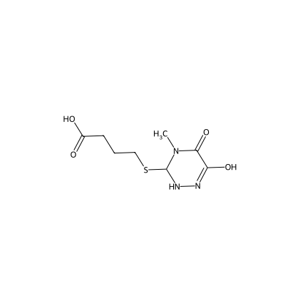 CN1C(=O)C(O)=NNC1SCCCC(=O)O